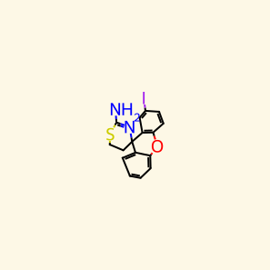 NC1=NC2(CCS1)c1ccccc1Oc1ccc(I)cc12